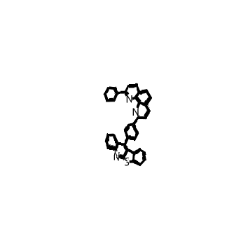 c1ccc(-c2ccc3ccc4ccc(-c5ccc(-c6c7ccccc7nc7sc8ccccc8c67)cc5)nc4c3n2)cc1